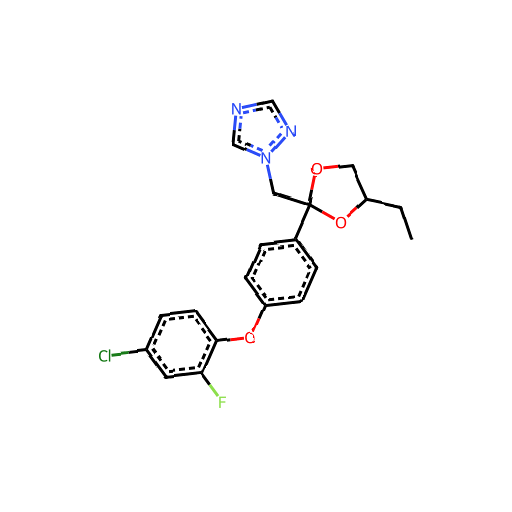 CCC1COC(Cn2cncn2)(c2ccc(Oc3ccc(Cl)cc3F)cc2)O1